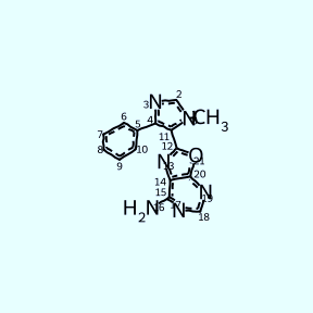 Cn1cnc(-c2ccccc2)c1-c1nc2c(N)ncnc2o1